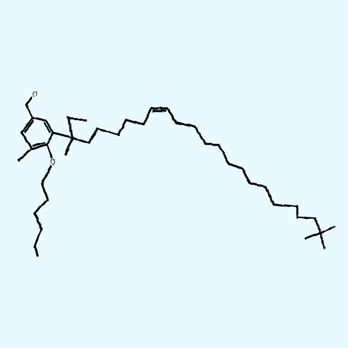 CCCCCCOc1c(C)cc(CCl)cc1C(C)(CC)CCCCC/C=C\CCCCCCCCCCCCC(C)(C)C